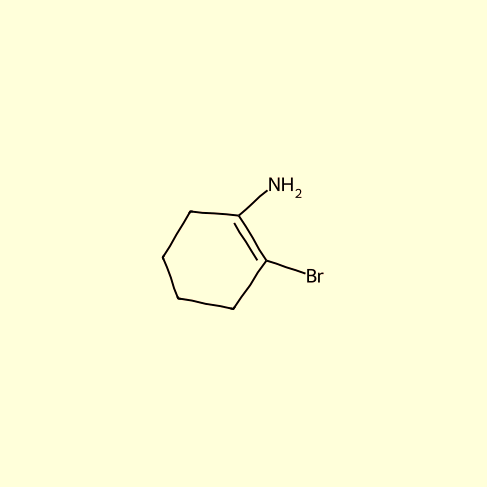 NC1=C(Br)CCCC1